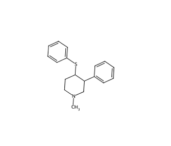 CN1CCC(Sc2ccccc2)C(c2ccccc2)C1